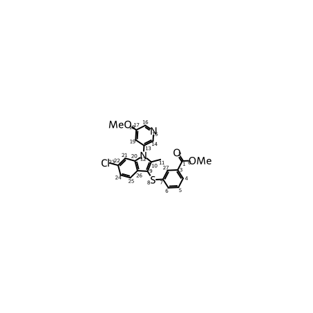 COC(=O)c1cccc(Sc2c(C)n(-c3cncc(OC)c3)c3cc(Cl)ccc23)c1